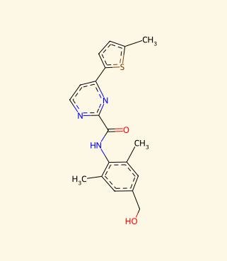 Cc1ccc(-c2ccnc(C(=O)Nc3c(C)cc(CO)cc3C)n2)s1